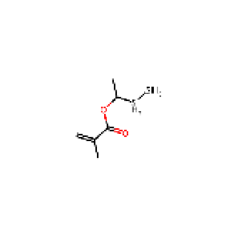 C=C(C)C(=O)OC(C)[SiH2][SiH3]